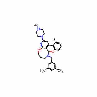 CC(=O)N1CCN(c2cc(-c3ccccc3C)c3c(n2)OCCCN(Cc2cc(C(F)(F)F)cc(C(F)(F)F)c2)C3=O)CC1